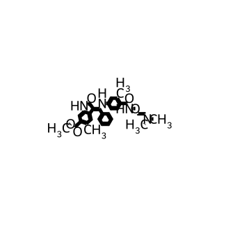 COC(=O)c1cc2c(cc1C)/C(=C(/Nc1ccc(C(=O)NOCCN(C)C)c(C)c1)c1ccccc1)C(=O)N2